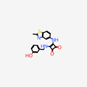 Cc1nc2cc(Nc3c(NCc4cccc(O)c4)c(=O)c3=O)ccc2s1